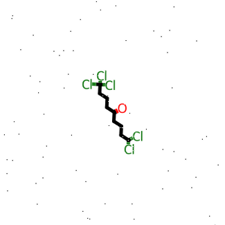 O=C(CCCC(Cl)Cl)CCCC(Cl)(Cl)Cl